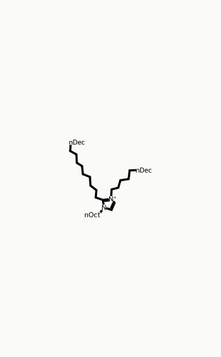 CCCCCCCCCCCCCCCCCCCc1n(CCCCCCCC)cc[n+]1CCCCCCCCCCCCCCC